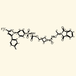 Cc1ccc(-c2cc(C(F)(F)F)nn2-c2ccc(S(=O)(=O)NC(=O)OCC3CN(/[N+]([O-])=N/OC(C)N4C(=O)c5ccccc5C4=O)C3)cc2)cc1